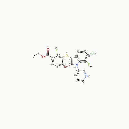 CCOC(=O)c1cccc(Sc2c(Br)n(-c3cccnc3)c3c(F)c(Cl)ccc23)c1F